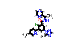 Cc1ccc(-c2cc(-n3ncnc3C(C)C)cc(C(=O)NC(C)c3cnccn3)c2F)nc1